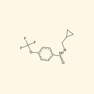 O=[SH](=N/CC1CC1)/c1ccc(OC(F)(F)F)cc1